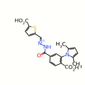 Cc1ccc(C)n1-c1cc(C(=O)N/N=C/c2ccc(C(=O)O)s2)ccc1C(=O)O